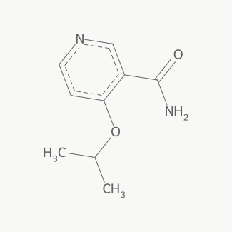 CC(C)Oc1ccncc1C(N)=O